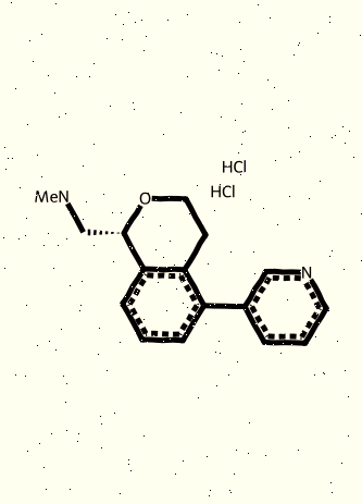 CNC[C@@H]1OCCc2c(-c3cccnc3)cccc21.Cl.Cl